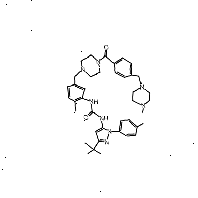 Cc1ccc(-n2nc(C(C)(C)C)cc2NC(=O)Nc2cc(CN3CCN(C(=O)c4ccc(CN5CCN(C)CC5)cc4)CC3)ccc2C)cc1